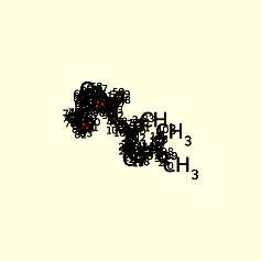 Cc1ccc(N(c2ccc(C)cc2)c2ccc3c(ccc4oc5ccc6cc(N(c7ccc(C)cc7)c7ccc(Cc8ccc(N(c9ccccc9)c9ccc%10c(ccc%11oc%12ccc%13cc(N(c%14ccccc%14)c%14ccccc%14-c%14ccccc%14)ccc%13c%12c%11%10)c9)c(-c9ccccc9)c8)cc7)ccc6c5c43)c2)cc1